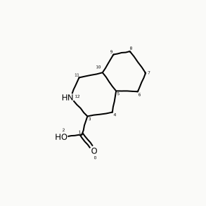 O=C(O)C1CC2CCCCC2CN1